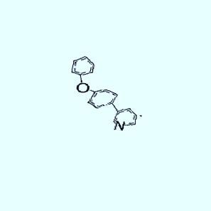 [c]1cncc(-c2ccc(Oc3ccccc3)cc2)c1